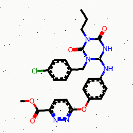 CCCN1C(=O)NC(Nc2ccc(Oc3ccc(C(=O)OC)nn3)cc2)N(Cc2ccc(Cl)cc2)C1=O